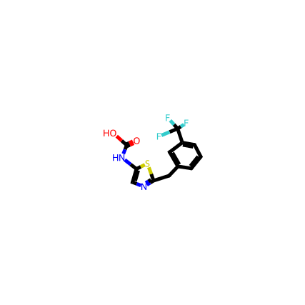 O=C(O)Nc1cnc(Cc2cccc(C(F)(F)F)c2)s1